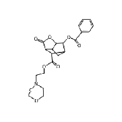 O=C(OC1C2CC3C1OC(=O)C3C2C(=O)OCCN1CCOCC1)c1ccccc1